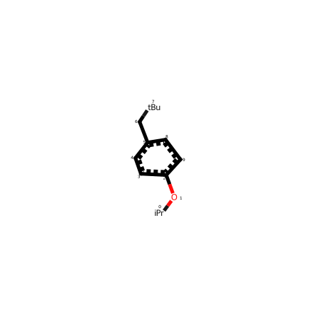 CC(C)Oc1ccc(CC(C)(C)C)cc1